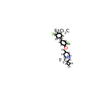 CCOC(=O)c1ccc(-c2ccc(OCC3CCN(CC4(C(F)(F)F)CCC4)CC3)c(F)c2)cc1F